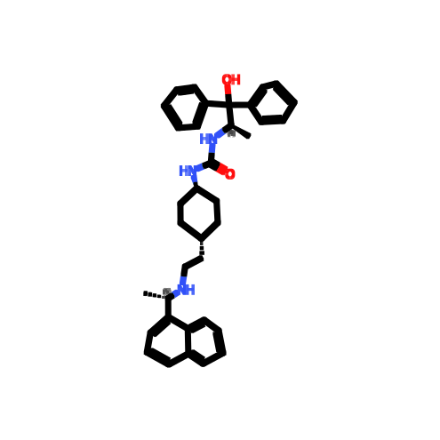 C[C@H](NCC[C@H]1CC[C@H](NC(=O)N[C@H](C)C(O)(c2ccccc2)c2ccccc2)CC1)c1cccc2ccccc12